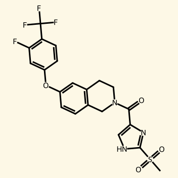 CS(=O)(=O)c1nc(C(=O)N2CCc3cc(Oc4ccc(C(F)(F)F)c(F)c4)ccc3C2)c[nH]1